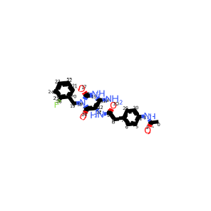 CC(=O)Nc1ccc(CC(=O)Nc2c(N)[nH]c(=O)n(Cc3ccccc3F)c2=O)cc1